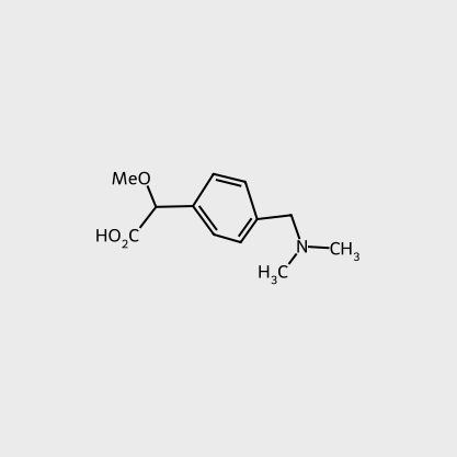 COC(C(=O)O)c1ccc(CN(C)C)cc1